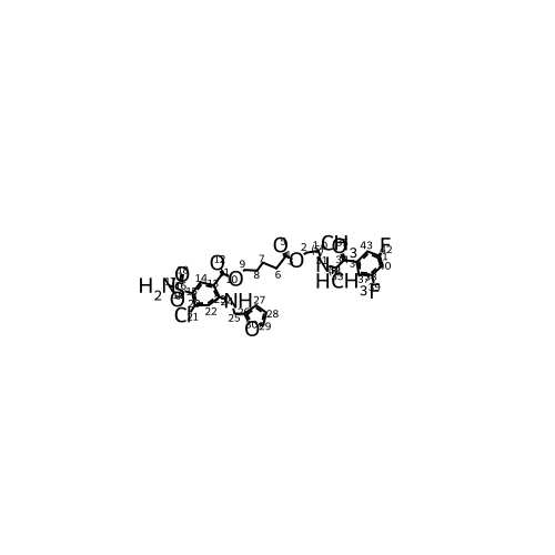 C[C@@H](COC(=O)CCCCOC(=O)c1cc(S(N)(=O)=O)c(Cl)cc1NCc1ccco1)N[C@H](C)C(=O)c1cc(F)cc(F)c1